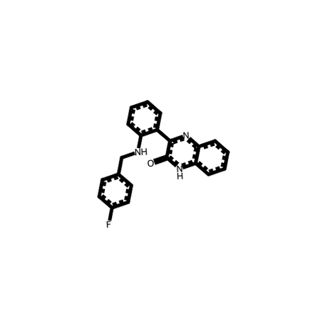 O=c1[nH]c2ccccc2nc1-c1ccccc1NCc1ccc(F)cc1